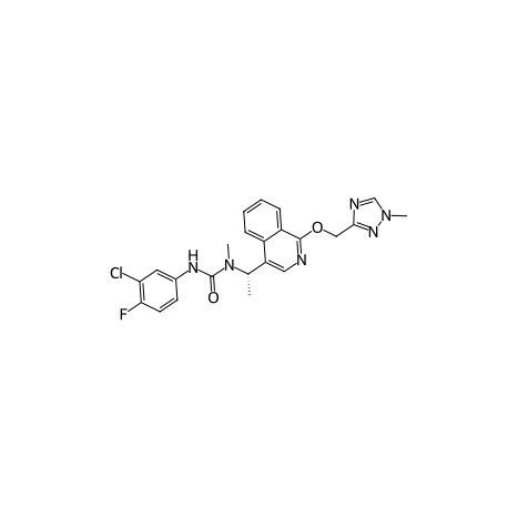 C[C@@H](c1cnc(OCc2ncn(C)n2)c2ccccc12)N(C)C(=O)Nc1ccc(F)c(Cl)c1